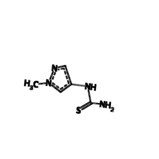 Cn1cc(NC(N)=S)cn1